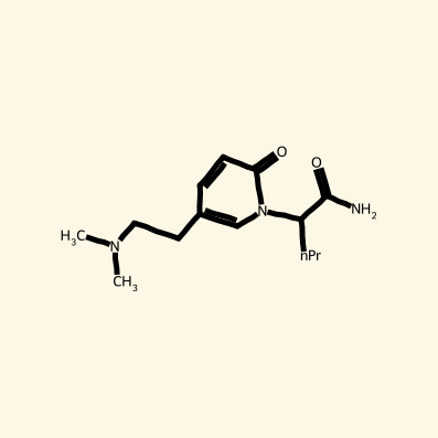 CCCC(C(N)=O)n1cc(CCN(C)C)ccc1=O